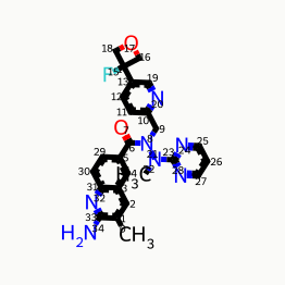 Cc1cc2cc(C(=O)N(Cc3ccc(C4(F)COC4)cn3)N(C)c3ncccn3)ccc2nc1N